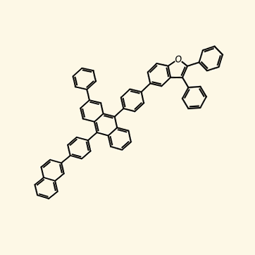 c1ccc(-c2ccc3c(-c4ccc(-c5ccc6ccccc6c5)cc4)c4ccccc4c(-c4ccc(-c5ccc6oc(-c7ccccc7)c(-c7ccccc7)c6c5)cc4)c3c2)cc1